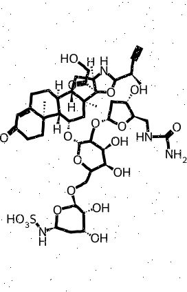 C#C[C@@H](C)C1N[C@@H]2C[C@H]3[C@@H]4CCC5=CC(=O)CC[C@]5(C)[C@H]4[C@@H](O[C@H]4OC(CO[C@@H]5O[C@H](NS(=O)(=O)O)C[C@@H](O)[C@H]5O)[C@H](O)[C@H](O)C4O[C@@H]4C[C@H](O)[C@@H](CNC(N)=O)O4)C[C@]3(C)[C@]2(C(=O)CO)O1